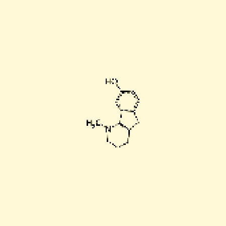 CN1CCCC23CCCCC12c1cc(O)ccc1C3